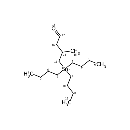 CCC[CH2][Sn]([CH2]CCC)([CH2]CCC)[CH2]C(C)CC=O